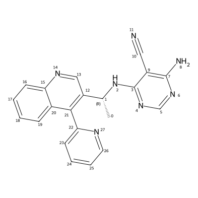 C[C@@H](Nc1ncnc(N)c1C#N)c1cnc2ccccc2c1-c1ccccn1